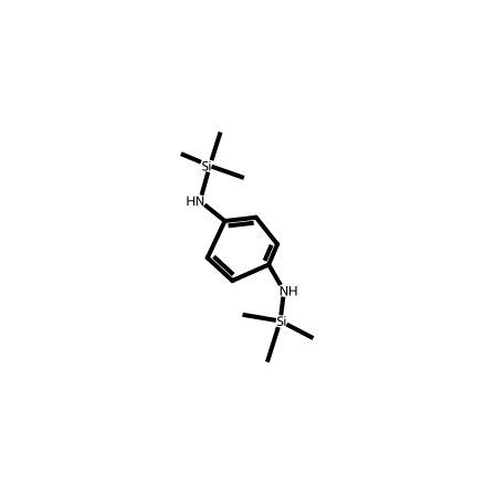 C[Si](C)(C)Nc1ccc(N[Si](C)(C)C)cc1